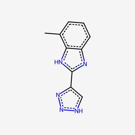 Cc1cccc2nc(-c3c[nH]nn3)[nH]c12